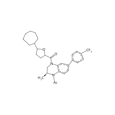 CC(=O)N1c2ccc(-c3ccc(C(F)(F)F)cc3)cc2N(C(=O)C2CCC(C3CCCCCC3)O2)C[C@@H]1C